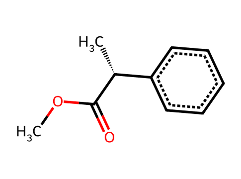 COC(=O)[C@H](C)c1ccccc1